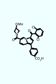 COC1CN(C(=O)c2ccc3c(-c4ccc(C(=O)O)cc4)cc(C(=O)c4c(Cl)cccc4Cl)n3c2)C1